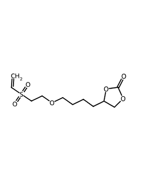 C=CS(=O)(=O)CCOCCCCC1COC(=O)O1